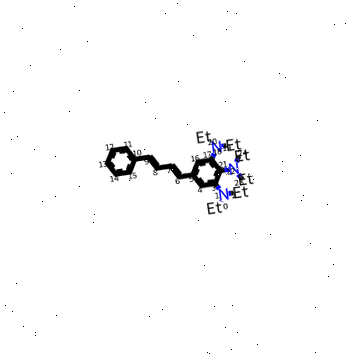 CCN(CC)c1cc(/C=C/C=C/c2ccccc2)cc(N(CC)CC)c1N(CC)CC